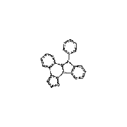 c1ccc(N2B3c4ccccc4-c4ccoc4N3c3ccccc32)cc1